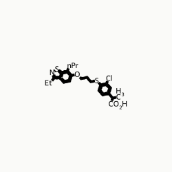 CCCc1c(OCCCSc2ccc(C(C)C(=O)O)cc2Cl)ccc2c(CC)nsc12